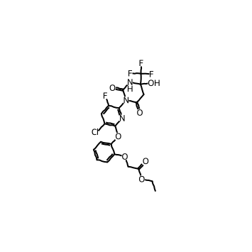 CCOC(=O)COc1ccccc1Oc1nc(N2C(=O)CC(O)(C(F)(F)F)NC2=O)c(F)cc1Cl